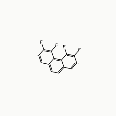 Fc1[c]cc2ccc3c[c]c(F)c(F)c3c2c1F